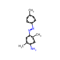 Cc1ccc(N=Nc2cc(C)c(N)[c]c2C)cc1